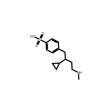 CNCCC(Cc1ccc(S(=O)(=O)O)cc1)C1CC1